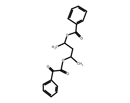 CC(CC(C)OC(=O)c1ccccc1)OC(=O)C(=O)c1ccccc1